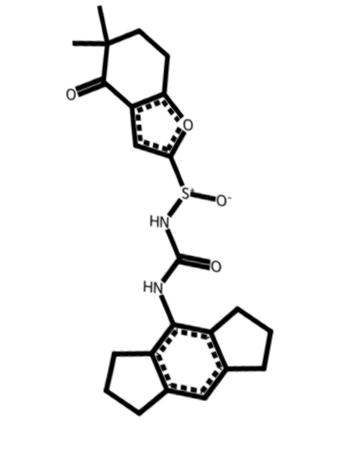 CC1(C)CCc2oc([S+]([O-])NC(=O)Nc3c4c(cc5c3CCC5)CCC4)cc2C1=O